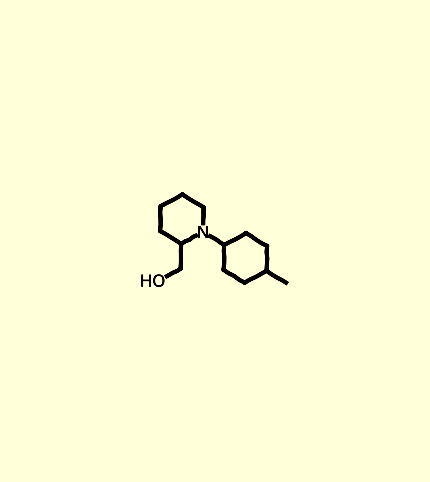 CC1CCC(N2CCCCC2CO)CC1